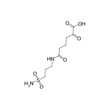 NS(=O)(=O)CCCNC(=O)CCCC(=O)C(=O)O